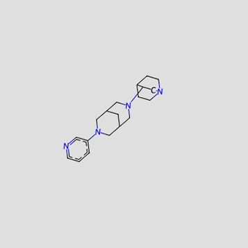 c1cncc(N2CC3CC(C2)CN(C2CN4CCC2CC4)C3)c1